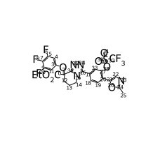 CCOC(=O)C1(Oc2cc(F)c(F)c(F)c2)CCCn2c(-c3ccc(-c4cnc(C)o4)c(OS(=O)(=O)C(F)(F)F)c3)nnc21